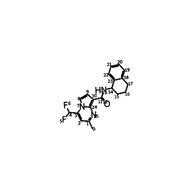 Cc1cc(C(F)F)n2ccc(C(=O)NC3CCCc4ccccc43)c2n1